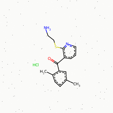 Cc1ccc(C)c(C(=O)c2cccnc2SCCN)c1.Cl